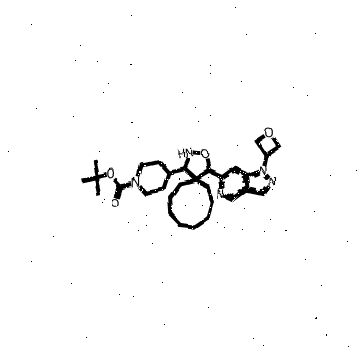 CC(C)(C)OC(=O)N1CCC(C2NOC(c3cc4c(cn3)cnn4C3COC3)C23CCCCCCCC3)CC1